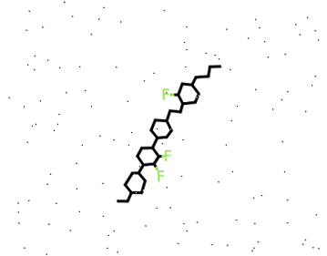 CCCCC1CCC(CCC2CCC(C3CCC(C4CCC(CC)CC4)C(F)C3F)CC2)C(F)C1